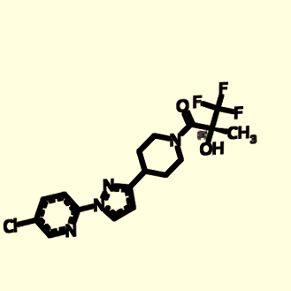 C[C@@](O)(C(=O)N1CCC(c2ccn(-c3ccc(Cl)cn3)n2)CC1)C(F)(F)F